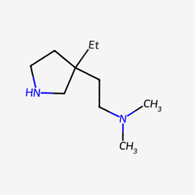 CCC1(CCN(C)C)CCNC1